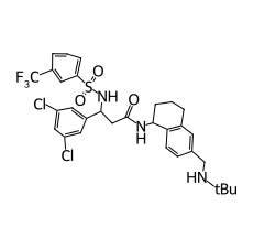 CC(C)(C)NCc1ccc2c(c1)CCCC2NC(=O)CC(NS(=O)(=O)c1cccc(C(F)(F)F)c1)c1cc(Cl)cc(Cl)c1